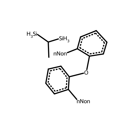 CC([SiH3])[SiH3].CCCCCCCCCc1ccccc1Oc1ccccc1CCCCCCCCC